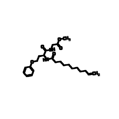 C=CCCCCCCCCC(=O)N[C@@H](CCOc1ccccc1)C(=O)NCC(=O)OC